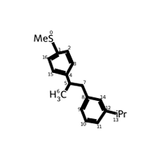 CSc1ccc(C(C)Cc2cccc(C(C)C)c2)cc1